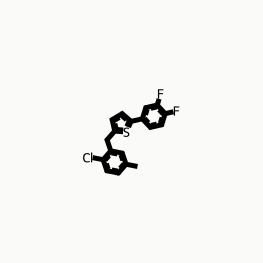 Cc1ccc(Cl)c(Cc2ccc(-c3ccc(F)c(F)c3)s2)c1